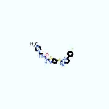 CN1CCN(CCNC(=O)Nc2nc3ccc(Sc4nnc5n4N=C(c4ccc(F)cc4)CC5)cc3s2)CC1